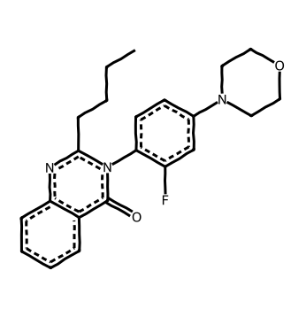 CCCCc1nc2ccccc2c(=O)n1-c1ccc(N2CCOCC2)cc1F